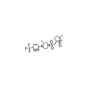 C[C@H]1CN(S(=O)(=O)C[C@]23CC[C@](C)(CC2=O)C3(C)C)CCN1c1ccc(C(F)(F)F)nn1